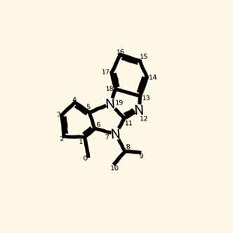 Cc1cccc2c1n(C(C)C)c1nc3ccccc3n21